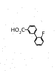 O=C(O)c1cccc(-c2ccccc2F)c1